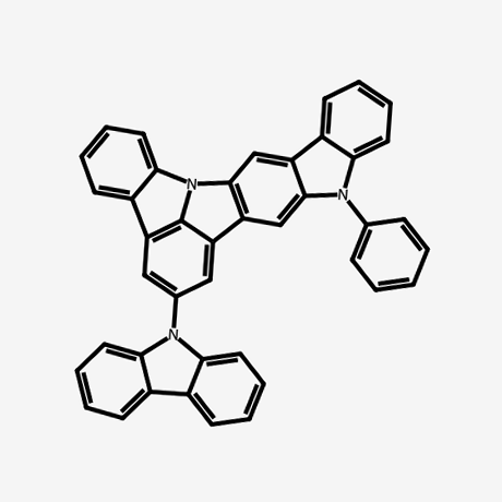 c1ccc(-n2c3ccccc3c3cc4c(cc32)c2cc(-n3c5ccccc5c5ccccc53)cc3c5ccccc5n4c32)cc1